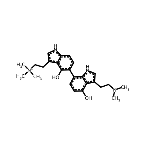 CN(C)CCc1c[nH]c2c(-c3ccc4[nH]cc(CC[N+](C)(C)C)c4c3O)ccc(O)c12